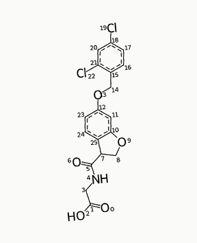 O=C(O)CNC(=O)C1COc2cc(OCc3ccc(Cl)cc3Cl)ccc21